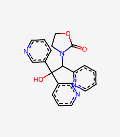 O=C1OCCN1C(c1ccccn1)C(O)(c1cccnc1)c1cccnc1